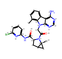 Cc1cccc2c3c(N)ncnc3n(CC(=O)N3[C@@H]4CC4C[C@H]3C(=O)Nc3cccc(Br)n3)c12